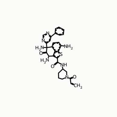 C=CC(=O)N1CCCC(NC(=O)c2sc3c(N)ccc4c3c2C(N)C(=O)C4(N)c2cc(-c3ccccc3)ncn2)C1